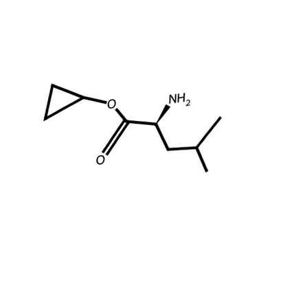 CC(C)C[C@H](N)C(=O)OC1CC1